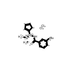 C[SiH](C)[Hf+2]([NH]C(=O)c1cccc(C(C)(C)C)c1)[C]1=CC=CC1.[Cl-].[Cl-]